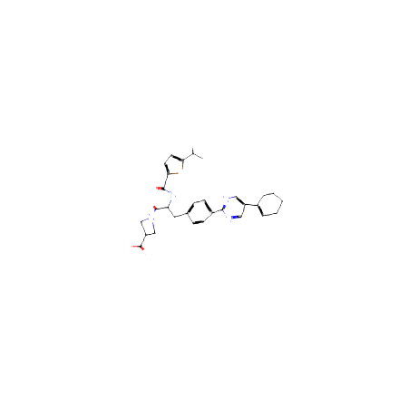 CC(C)c1ccc(C(=O)NC(Cc2ccc(-c3ncc(C4=CCCCC4)cn3)cc2)C(=O)N2CC(C(=O)O)C2)s1